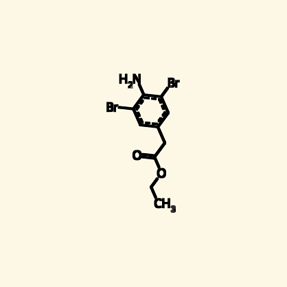 CCOC(=O)Cc1cc(Br)c(N)c(Br)c1